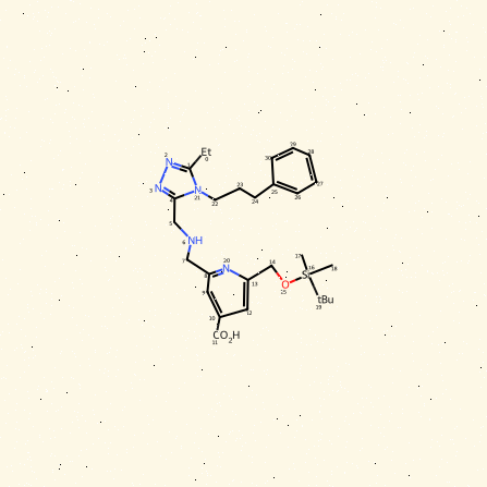 CCc1nnc(CNCc2cc(C(=O)O)cc(CO[Si](C)(C)C(C)(C)C)n2)n1CCCc1ccccc1